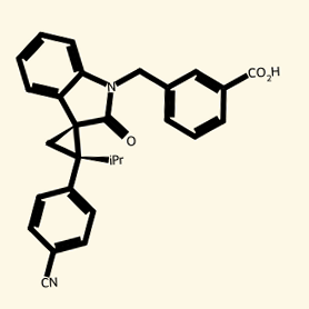 CC(C)[C@@]1(c2ccc(C#N)cc2)C[C@@]12C(=O)N(Cc1cccc(C(=O)O)c1)c1ccccc12